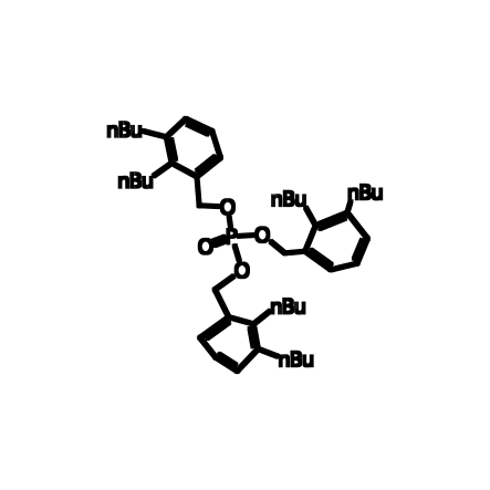 CCCCc1cccc(COP(=O)(OCc2cccc(CCCC)c2CCCC)OCc2cccc(CCCC)c2CCCC)c1CCCC